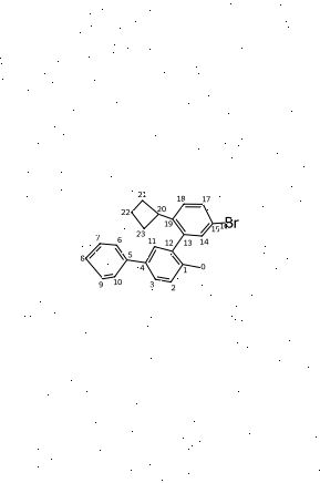 Cc1ccc(-c2ccccc2)cc1-c1cc(Br)ccc1C1CCC1